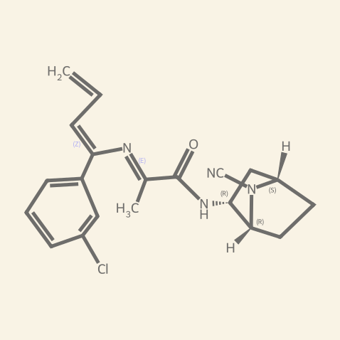 C=C/C=C(\N=C(/C)C(=O)N[C@@H]1C[C@@H]2CC[C@H]1N2C#N)c1cccc(Cl)c1